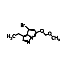 CCc1cnn2cc(OCOC)cc(Br)c12